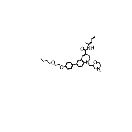 C=C/C=C(\C)NC(=O)C1=Cc2cc(-c3ccc(OCCOCCCC)cc3)ccc2N(CC2CN(C)CCO2)CC1